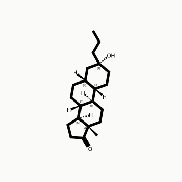 CCC[C@@]1(O)CC[C@H]2[C@H](CC[C@@H]3[C@@H]2CC[C@]2(C)C(=O)CC[C@@H]32)C1